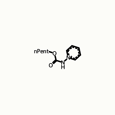 CCCCCOC(=O)N[n+]1ccccc1